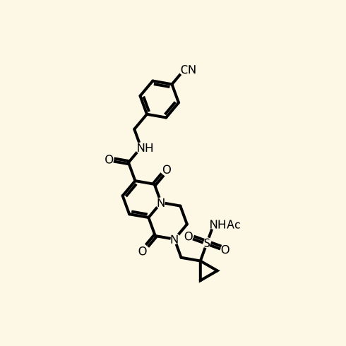 CC(=O)NS(=O)(=O)C1(CN2CCn3c(ccc(C(=O)NCc4ccc(C#N)cc4)c3=O)C2=O)CC1